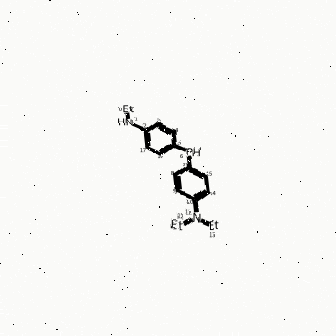 CCNc1ccc(Pc2ccc(N(CC)CC)cc2)cc1